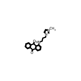 Cn1cc[n+](CCCNc2cccc3c2C(=O)c2ccccc2C3=O)c1